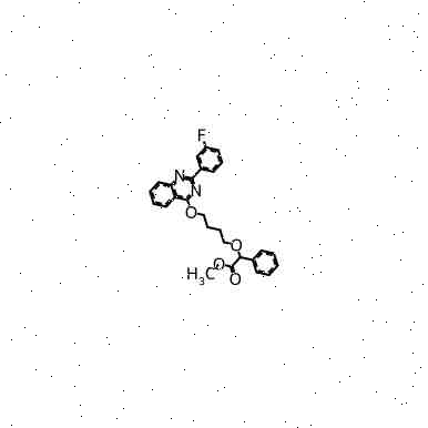 COC(=O)C(OCCCCOc1nc(-c2cccc(F)c2)nc2ccccc12)c1ccccc1